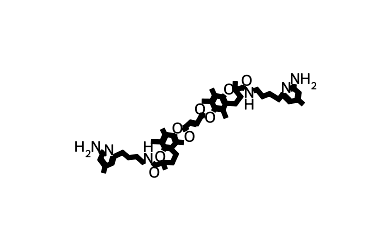 Cc1cc(N)nc(CCCCNC(=O)C2(C)CCc3c(C)c(OC(=O)/C=C/C(=O)Oc4c(C)c(C)c5c(c4C)CCC(C)(C(=O)NCCCCc4cc(C)cc(N)n4)O5)c(C)c(C)c3O2)c1